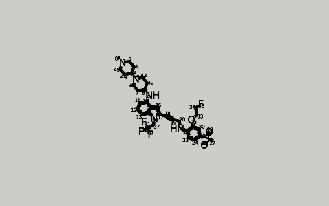 CN1CCC(N2CCC(Nc3cccc4c3cc(C#CCNc3ccc(S(C)(=O)=O)cc3OCCF)n4CC(F)(F)F)CC2)CC1